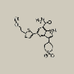 CCOCCc1ccc(-c2cc(C(N)=O)c3[nH]cc(C4CCS(=O)(=O)CC4)c3c2)s1